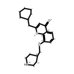 O=c1cc(CC2CCCCC2)oc2c(OCC3CCNCC3)cccc12